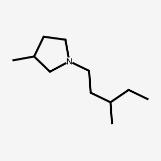 CCC(C)CCN1CCC(C)C1